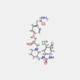 NC(=O)Cc1ccc(OCC(O)CN2CCCC(Cn3c(=O)[nH]c4cc(Cl)c(Cl)cc43)C2)cc1